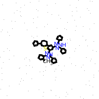 Cc1ccccc1-c1nc(-c2ccccc2)nc(-c2cc(C(=N/C(=N)c3ccccc3)/N=C/c3ccccc3)cc3c4c(sc23)C=C(c2ccccc2)CCC4)n1